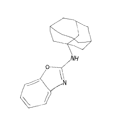 c1ccc2oc(NC34CC5CC(CC(C5)C3)C4)nc2c1